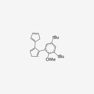 COc1c(C2=[C]CC=C2C2=CC=CC2)cc(C(C)(C)C)cc1C(C)(C)C